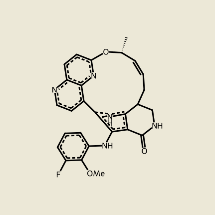 COc1c(F)cccc1Nc1c2[nH]c3c1C(=O)NCC3C/C=C\[C@@H](C)Oc1ccc3nccc-2c3n1